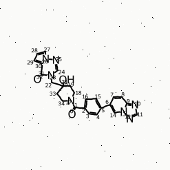 O=C(c1ccc(-c2ccc3ncnn3c2)cc1)N1CCC(O)(Cn2cnn3cccc3c2=O)CC1